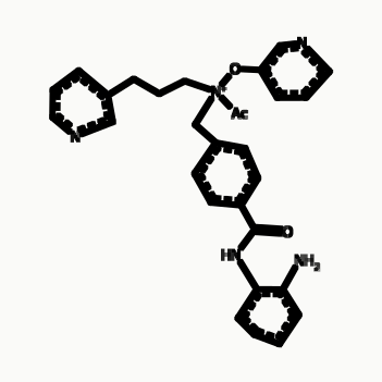 CC(=O)[N+](CCCc1cccnc1)(Cc1ccc(C(=O)Nc2ccccc2N)cc1)Oc1cccnc1